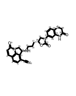 N#Cc1ccc2ccc(=O)n3c2c1[C@H](NCCC[C@@H]1CN(c2ccc4c(c2)NC(=O)CS4)C(=O)O1)C3